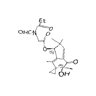 CCC(=O)N(C=O)CC(=O)O[C@@H]1C2=C(C)C3(CC3)[C@@](C)(O)C(=O)C2=CC1(C)C